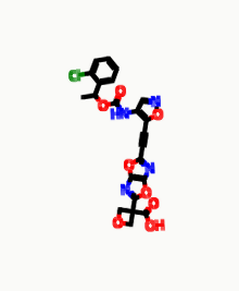 CC(OC(=O)Nc1cnoc1C#Cc1nc2oc(C3(C(=O)O)COC3)nc2o1)c1ccccc1Cl